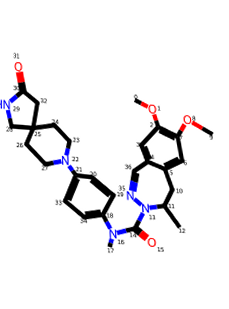 COc1cc2c(cc1OC)CC(C)N(C(=O)N(C)c1ccc(N3CCC4(CC3)CNC(=O)C4)cc1)N=C2